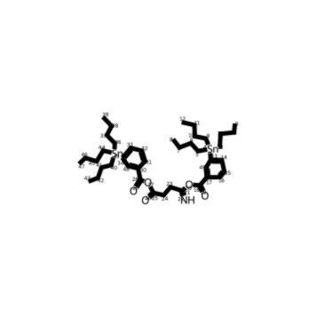 CCC[CH2][Sn]([CH2]CCC)([CH2]CCC)[c]1cccc(C(=O)OC(=N)CCC(=O)OC(=O)c2ccc[c]([Sn]([CH2]CCC)([CH2]CCC)[CH2]CCC)c2)c1